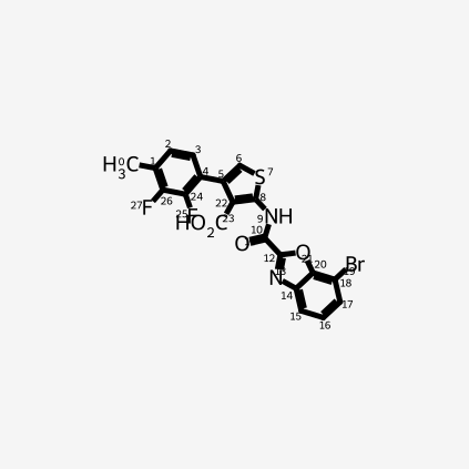 Cc1ccc(-c2csc(NC(=O)c3nc4cccc(Br)c4o3)c2C(=O)O)c(F)c1F